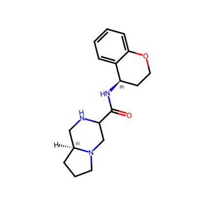 O=C(N[C@@H]1CCOc2ccccc21)C1CN2CCC[C@H]2CN1